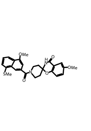 COc1ccc2c(c1)C(=O)NC1(CCN(C(=O)c3cc(OC)c4cccc(SC)c4c3)CC1)O2